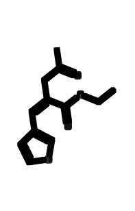 CCOC(=O)C(=Cc1ccoc1)CC(C)=O